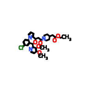 CCOC(=O)CC1CCN(C(=O)CC2OC(c3nccc(OC)c3OC)c3cc(Cl)ccc3-n3cccc32)CC1